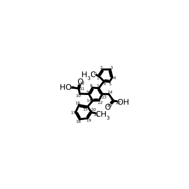 Cc1ccccc1-c1cc(CC(=O)O)c(-c2ccccc2C)cc1CC(=O)O